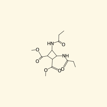 CCC(=O)NC1C(NC(=O)CC)C(C(=O)OC)C1C(=O)OC